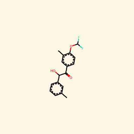 Cc1cccc(C(O)C(=O)c2ccc(OC(F)F)c(C)c2)c1